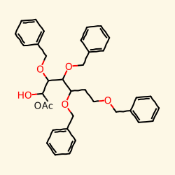 CC(=O)OC(O)C(OCc1ccccc1)C(OCc1ccccc1)C(CCOCc1ccccc1)OCc1ccccc1